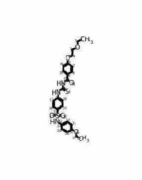 CCOCCOc1ccc(C(=O)NC(=S)Nc2ccc(S(=O)(=O)Nc3ccc(OCC)cc3)cc2)cc1